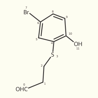 O=CCCSc1cc(Br)ccc1O